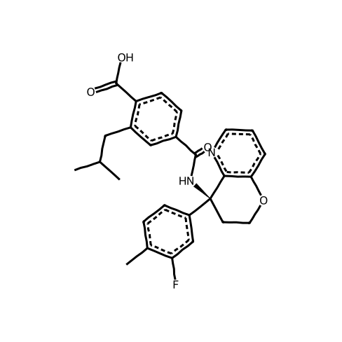 Cc1ccc([C@@]2(NC(=O)c3ccc(C(=O)O)c(CC(C)C)c3)CCOc3cccnc32)cc1F